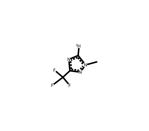 [2H]c1nc(C(F)(F)F)nn1C